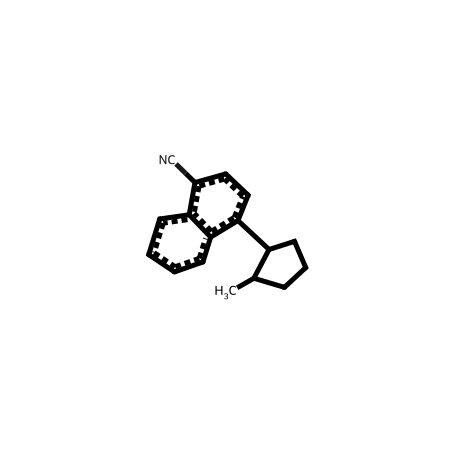 CC1CCCC1c1ccc(C#N)c2ccccc12